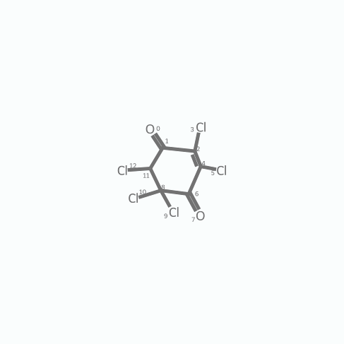 O=C1C(Cl)=C(Cl)C(=O)C(Cl)(Cl)C1Cl